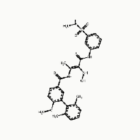 CNS(=O)(=O)c1cccc(NC(=O)/C(NO)=C(\C)NC(=O)c2ccc(OC)c(-c3c(C)cccc3C)c2)c1